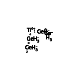 [GeH3-].[GeH3-].[GeH3-].[GeH3-].[Ti+4]